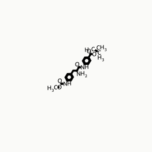 COC(=O)Nc1ccc(CC(N)C(=O)Nc2ccc(C(=O)OC(C)(C)C)cc2)cc1